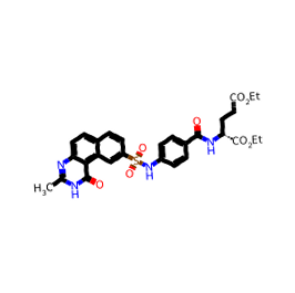 CCOC(=O)CC[C@@H](NC(=O)c1ccc(NS(=O)(=O)c2ccc3ccc4nc(C)[nH]c(=O)c4c3c2)cc1)C(=O)OCC